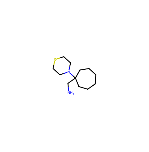 NCC1(N2CCSCC2)CCCCCC1